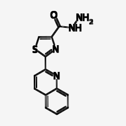 NNC(=O)c1csc(-c2ccc3ccccc3n2)n1